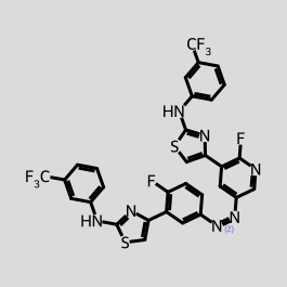 Fc1ccc(/N=N\c2cnc(F)c(-c3csc(Nc4cccc(C(F)(F)F)c4)n3)c2)cc1-c1csc(Nc2cccc(C(F)(F)F)c2)n1